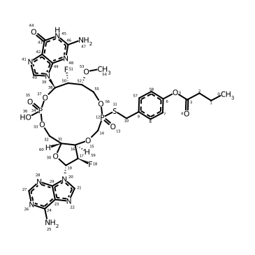 CCCC(=O)Oc1ccc(CSP2(=O)CO[C@H]3[C@@H](F)[C@H](n4cnc5c(N)ncnc54)O[C@@H]3COP(=O)(O)O[C@@H](n3cnc4c(=O)[nH]c(N)nc43)[C@H](F)[C@H](OC)CO2)cc1